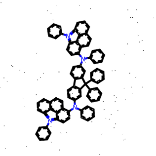 c1ccc(N(c2ccc3c(c2)C(c2ccccc2)(c2ccccc2)c2cc(N(c4ccccc4)c4ccc5c6c4ccc4cccc(c46)n5-c4ccccc4)ccc2-3)c2ccc3c4c2ccc2cccc(c24)n3-c2ccccc2)cc1